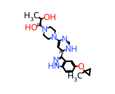 CC(O)[C@H](O)N1CCN(C2=C[C@H](c3n[nH]c4ccc(OC5(C)CC5)cc34)NC=N2)CC1